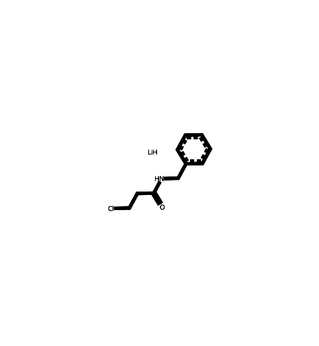 O=C(CCCl)NCc1ccccc1.[LiH]